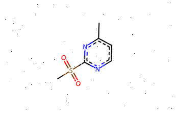 Cc1ccnc(S(C)(=O)=O)n1